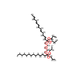 CCCCCCCCCCCCCC(OCCC)(OCCC)OCOCOC(CCCCCCCCCCCCC)(OCCC)OCCC